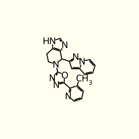 Cc1cccnc1-c1nnc(N2CCc3[nH]cnc3C2c2cc3ccccn3n2)o1